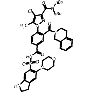 CCCCN(CCCC)C(=O)c1nn(-c2ccc(C(=O)NS(=O)(=O)c3cc4c(cc3N3CCOCC3)CCN4)cc2C(=O)N2CCc3ccccc3C2)c(C)c1Cl